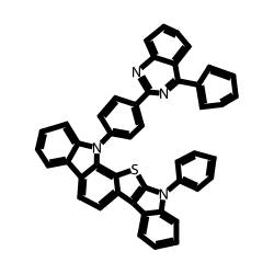 c1ccc(-c2nc(-c3ccc(-n4c5ccccc5c5ccc6c(sc7c6c6ccccc6n7-c6ccccc6)c54)cc3)nc3ccccc23)cc1